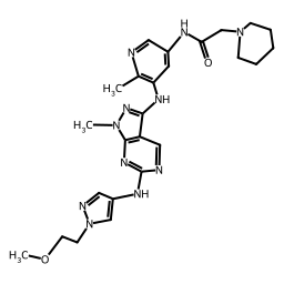 COCCn1cc(Nc2ncc3c(Nc4cc(NC(=O)CN5CCCCC5)cnc4C)nn(C)c3n2)cn1